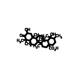 CC1CCC2(C(=O)O)CCC3(C)C(=CCC4C5(C)CC(O)C(=O)C(C)(C)C5CCC43C)C2C1(C)O